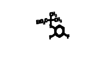 CCOC(=O)C(C)(C)Sc1ccc(F)cc1F